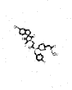 CC(C)(C)OC(=O)C=C1CCC(N(Cc2ccc(F)cc2)C(=O)CN2C(=O)NC3(CCc4cc(Br)ccc43)C2=O)CC1